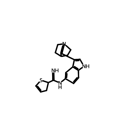 N=C(Nc1ccc2[nH]cc(C3=CN4CCC3CC4)c2c1)C1CC=CS1